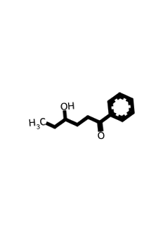 CCC(O)CCC(=O)c1ccccc1